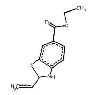 C=CC1Nc2ccc(C(=O)OCC)cc2S1